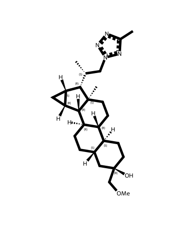 COC[C@@]1(O)CC[C@H]2[C@@H](CC[C@@H]3[C@@H]2CC[C@@]2(C)[C@H]3[C@@H]3C[C@@H]3[C@@H]2[C@H](C)Cn2nnc(C)n2)C1